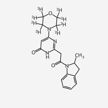 [2H]C1([2H])OC([2H])([2H])C([2H])([2H])N(c2cc(=O)[nH]c(CC(=O)N3c4ccccc4CC3C)n2)C1([2H])[2H]